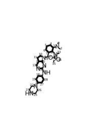 CN(C)c1cccc(Cn2ccc3cnc(Nc4ccc(N5CCNCC5)cc4)nc32)c1N(C)S(C)(=O)=O